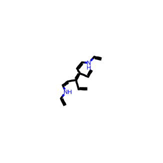 C=CN\C=C/C(C=C)=C(C=C)\C=C/NC=C